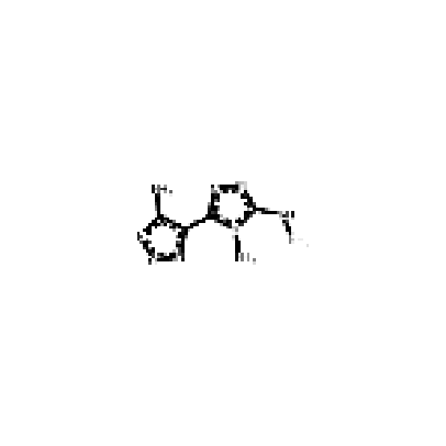 NNc1nnc(-c2nonc2N)n1N